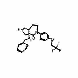 O=C(Cc1ccccc1)C12CNCC1CCN(c1ccc(OCC(F)(F)F)cc1)C2=O